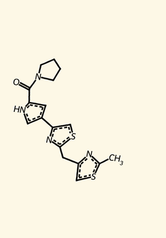 Cc1nc(Cc2nc(-c3c[nH]c(C(=O)N4CCCC4)c3)cs2)cs1